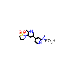 Cc1ncc(-c2ccnc(N(C)C(=O)O)c2)cc1N1CCCS1(=O)=O